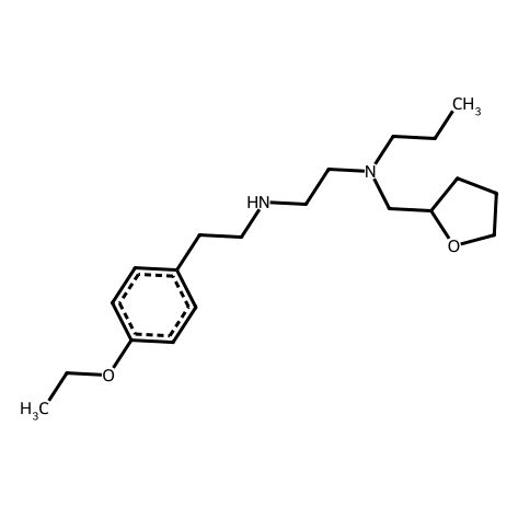 CCCN(CCNCCc1ccc(OCC)cc1)CC1CCCO1